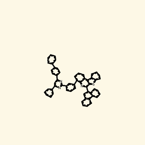 c1ccc(-c2ccc(-c3cc(-c4ccccc4)nc(-c4cccc(-c5cccc6c5nc(-c5cc7ccccc7c7ccccc57)c5sc7ccccc7c56)c4)n3)cc2)cc1